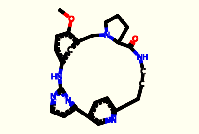 COc1ccc2cc1CN1CCCC1C(=O)NCCCc1ccc(cn1)-c1ccnc(n1)N2